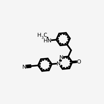 CNc1cccc(Cc2nn(-c3ccc(C#N)cc3)ccc2=O)c1